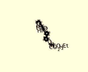 CCOC(=O)N(C)[C@@H](COc1cccc(-c2cccc(NC(=O)NCc3ccccn3)c2)c1)C(=O)O